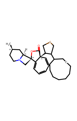 C[C@@H]1CCN2C[C@]3(OC(=O)[C@]4(C5CSCC5C5CCCCCCCCC5)C=CC=CC=C43)[C@@H]2C1